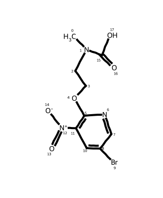 CN(CCOc1ncc(Br)cc1[N+](=O)[O-])C(=O)O